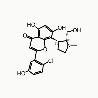 CN1CC[C@@H](c2c(O)cc(O)c3c(=O)cc(-c4cc(O)ccc4Cl)oc23)[C@@H]1CO